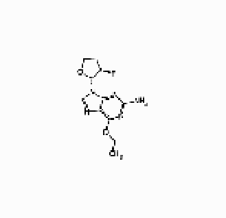 CCOc1nc(N)nc2c1ncn2[C@@H]1OCC[C@H]1F